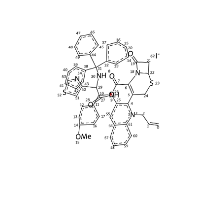 C=CC[n+]1c(C2=C(C(=O)OCc3ccc(OC)cc3)N3C(=O)CC3SC2)c(NC(=O)C(NC(c2ccccc2)(c2ccccc2)c2ccccc2)c2cscn2)cc2ccccc21.[I-]